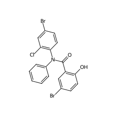 O=C(c1cc(Br)ccc1O)N(c1ccccc1)c1ccc(Br)cc1Cl